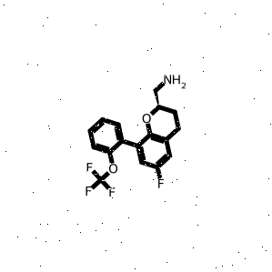 NC[C@H]1CCc2cc(F)cc(-c3ccccc3OC(F)(F)F)c2O1